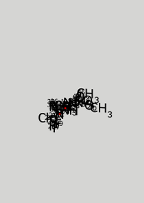 CCOC(=O)CCN1CCN(c2ncnc(Nc3nc(-c4cc(Cl)cc(C(F)(F)F)c4)c(CN4CCC[C@H]4C)s3)c2F)C[C@H]1COC